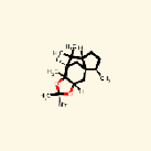 CCC[C@]1(C)O[C@H]2C[C@@]34C[C@H](C(C)(C)[C@@H]3CC[C@H]4C)[C@@]2(C)O1